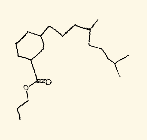 CCCOC(=O)C1CCCC(CCCC(C)CCCC(C)C)C1